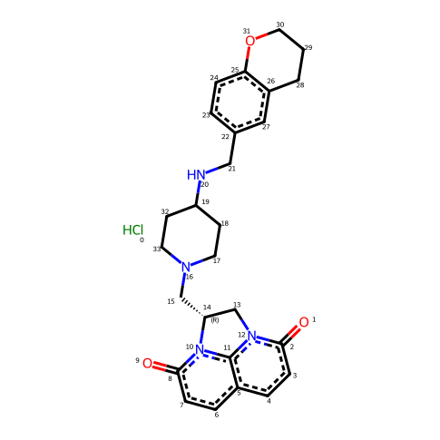 Cl.O=c1ccc2ccc(=O)n3c2n1C[C@H]3CN1CCC(NCc2ccc3c(c2)CCCO3)CC1